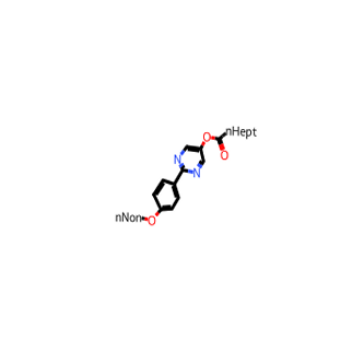 CCCCCCCCCOc1ccc(-c2ncc(OC(=O)CCCCCCC)cn2)cc1